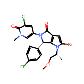 COC[C@@H](C)n1c(Br)cc2c1[C@H](c1ccc(Cl)cc1)N(c1cc(Cl)c(=O)n(C)c1)C2=O